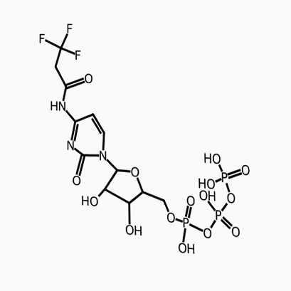 O=C(CC(F)(F)F)Nc1ccn(C2OC(COP(=O)(O)OP(=O)(O)OP(=O)(O)O)C(O)C2O)c(=O)n1